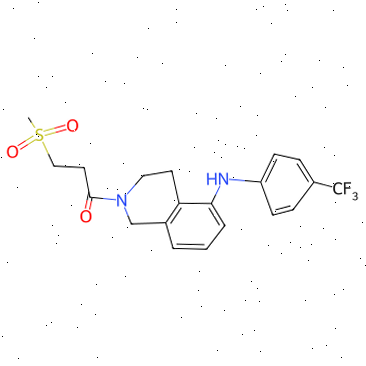 CS(=O)(=O)CCC(=O)N1CCc2c(cccc2Nc2ccc(C(F)(F)F)cc2)C1